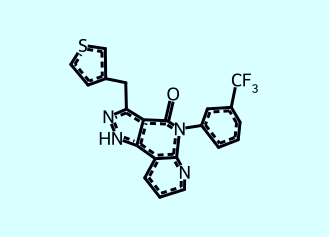 O=c1c2c(Cc3ccsc3)n[nH]c2c2cccnc2n1-c1cccc(C(F)(F)F)c1